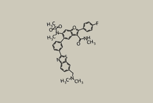 CNC(=O)c1c(-c2ccc(F)cc2)oc2cc(N(C)S(C)(=O)=O)c(-c3cccc(-c4nc5ccc(CN(C)C)cc5s4)c3)cc12